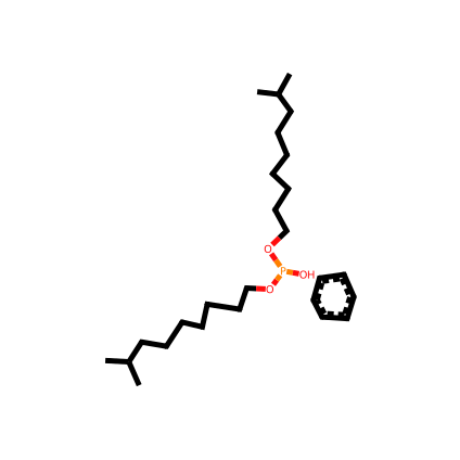 CC(C)CCCCCCCOP(O)OCCCCCCCC(C)C.c1ccccc1